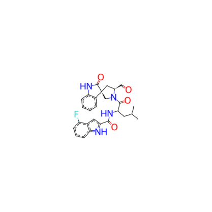 CC(C)CC(NC(=O)c1cc2c(F)cccc2[nH]1)C(=O)N1C[C@]2(C[C@H]1C=O)C(=O)Nc1ccccc12